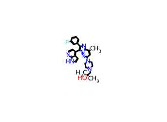 Cc1cc(N2CCN(CC(C)(C)O)CC2)nn2c(-c3ccnc4[nH]ccc34)c(-c3cccc(F)c3)nc12